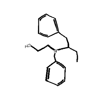 CCC(Cc1ccccc1)N(CCO)c1ccccc1